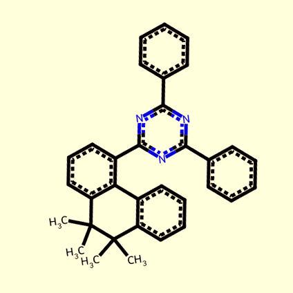 CC1(C)c2ccccc2-c2c(-c3nc(-c4ccccc4)nc(-c4ccccc4)n3)cccc2C1(C)C